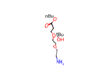 CC(C)(C)O.CCCCOC(=O)CCOCCOCCN